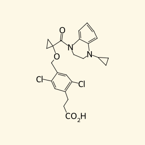 O=C(O)CCc1cc(Cl)c(COC2(C(=O)N3CCN(C4CC4)c4ccccc43)CC2)cc1Cl